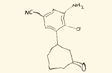 N#Cc1cc(N)c(Cl)c(C2CCCC(=O)C2)c1